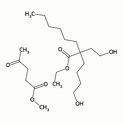 CCCCCCC(CCO)(CCCCO)C(=O)OCC.COC(=O)CCC(C)=O